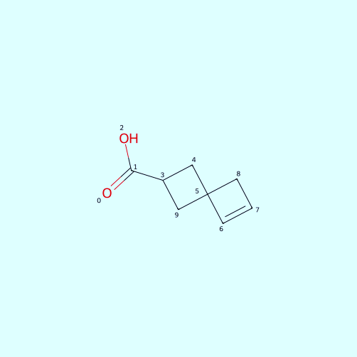 O=C(O)C1CC2(C=CC2)C1